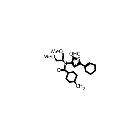 COCC(COC)N(C(=O)C1CCC(C)CC1)c1cc(C2=CCCCC2)sc1C=O